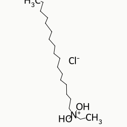 CCCCCCCCCCCCCCCCC[N+](O)(O)CC.[Cl-]